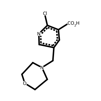 O=C(O)c1cc(CN2CCOCC2)cnc1Cl